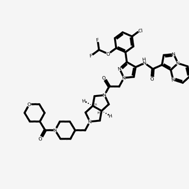 O=C(Nc1cn(CC(=O)N2C[C@H]3CN(CC4CCN(C(=O)C5CCOCC5)CC4)C[C@H]3C2)nc1-c1cc(Cl)ccc1OC(F)F)c1cnn2cccnc12